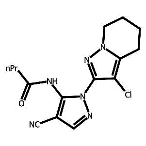 CCCC(=O)Nc1c(C#N)cnn1-c1nn2c(c1Cl)CCCC2